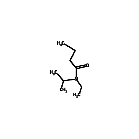 CCCC(=O)N(CC)C(C)C